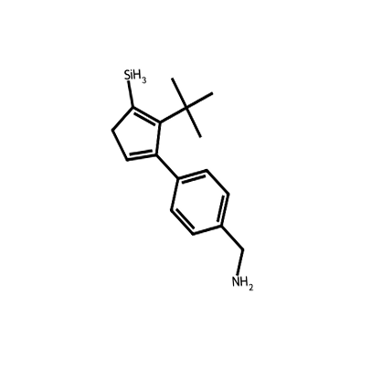 CC(C)(C)C1=C([SiH3])CC=C1c1ccc(CN)cc1